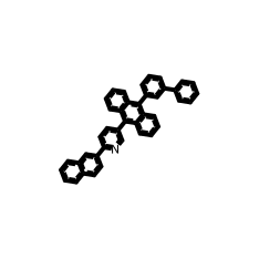 c1ccc(-c2cccc(-c3c4ccccc4c(-c4ccc(-c5ccc6ccccc6c5)nc4)c4ccccc34)c2)cc1